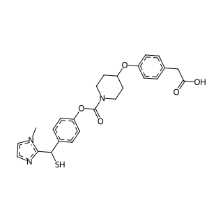 Cn1ccnc1C(S)c1ccc(OC(=O)N2CCC(Oc3ccc(CC(=O)O)cc3)CC2)cc1